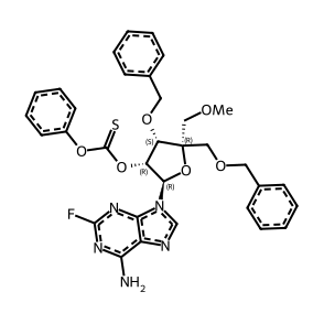 COC[C@]1(COCc2ccccc2)O[C@@H](n2cnc3c(N)nc(F)nc32)[C@H](OC(=S)Oc2ccccc2)[C@@H]1OCc1ccccc1